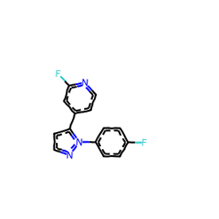 Fc1ccc(-n2nccc2-c2ccnc(F)c2)cc1